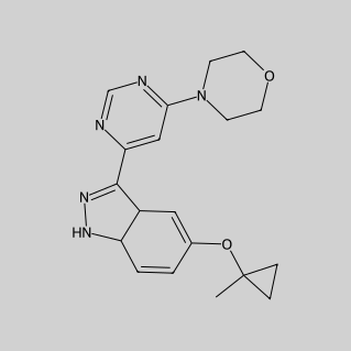 CC1(OC2=CC3C(c4cc(N5CCOCC5)ncn4)=NNC3C=C2)CC1